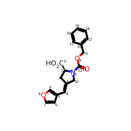 O=C(O)[C@@H]1CC(=Cc2ccoc2)CN1C(=O)OCc1ccccc1